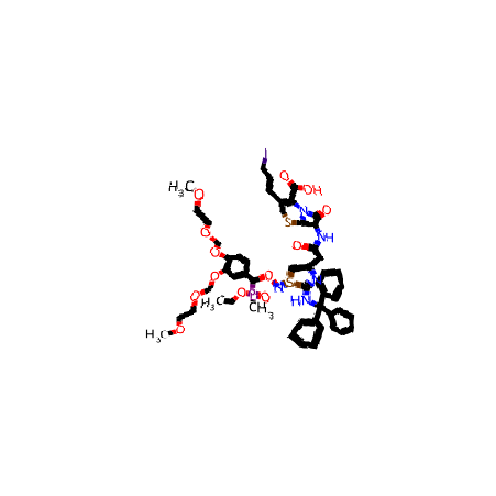 CCOP(C)(=O)C(ON=S1C=C(CC(=O)NC2C(=O)N3C(C(=O)O)=C(C=CCI)CSC23)N=C1NC(c1ccccc1)(c1ccccc1)c1ccccc1)c1ccc(OCOCCOC)c(OCOCCOC)c1